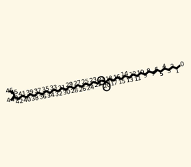 CCCCCCC=CCCCCCCCCCCCC(=O)OCCCCCCCCCCCCCCCCCCCCCC(C)CC